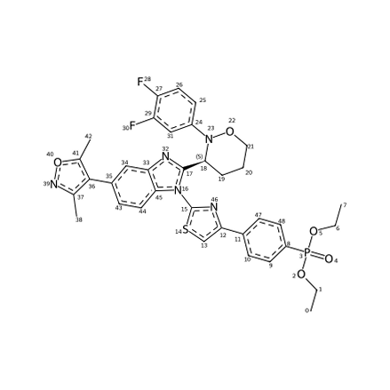 CCOP(=O)(OCC)c1ccc(-c2csc(-n3c([C@@H]4CCCON4c4ccc(F)c(F)c4)nc4cc(-c5c(C)noc5C)ccc43)n2)cc1